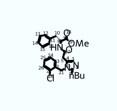 CCCCc1ncc(CC(=O)N[C@H](Cc2ccccc2)C(=O)OC)n1Cc1ccccc1Cl